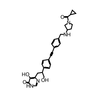 O=C(C1CC1)N1CCC(NCc2ccc(C#Cc3ccc(C(CO)Cc4nc[nH]c(=O)c4O)cc3)cc2)C1